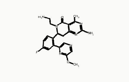 COc1cncc(-c2cc(F)ccc2C2Cc3nc(N)nc(C)c3C(=O)N2CCN)n1